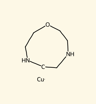 C1CNCCOCCN1.[Cu]